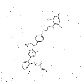 Cc1cc(Cl)c(OCCOc2ccc(CC(CN)c3ccc(-c4ccccc4CCC(N)=O)cc3C)cc2)c(Cl)c1